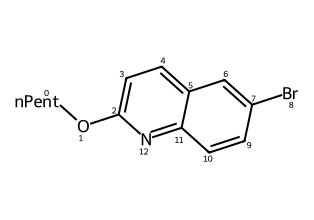 CCCCCOc1ccc2cc(Br)ccc2n1